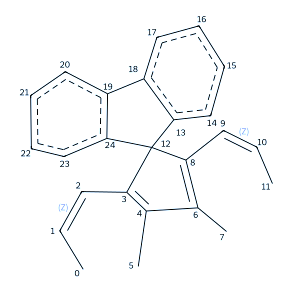 C/C=C\C1=C(C)C(C)=C(/C=C\C)C12c1ccccc1-c1ccccc12